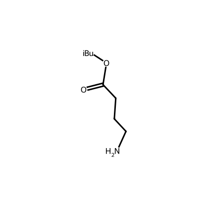 CCC(C)OC(=O)CCCN